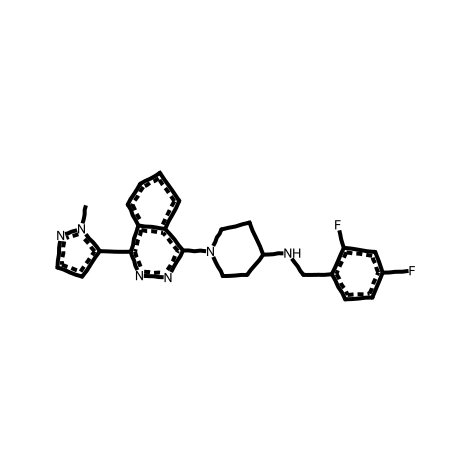 Cn1nccc1-c1nnc(N2CCC(NCc3ccc(F)cc3F)CC2)c2ccccc12